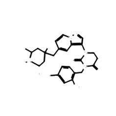 COc1ccc(CN2C(=O)CCN(c3cnn4ccc(CC5(F)CCN(C(=O)O)C(C)C5)cc34)C2=O)c(OC)c1